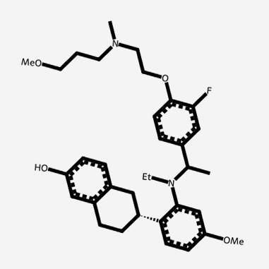 CCN(c1cc(OC)ccc1[C@@H]1CCc2cc(O)ccc2C1)C(C)c1ccc(OCCN(C)CCCOC)c(F)c1